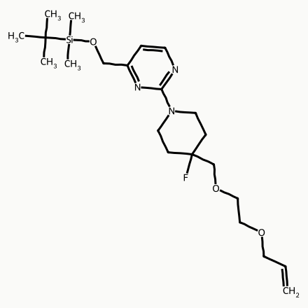 C=CCOCCOCC1(F)CCN(c2nccc(CO[Si](C)(C)C(C)(C)C)n2)CC1